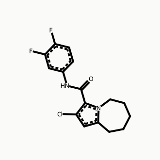 O=C(Nc1ccc(F)c(F)c1)c1c(Cl)cc2n1CCCCC2